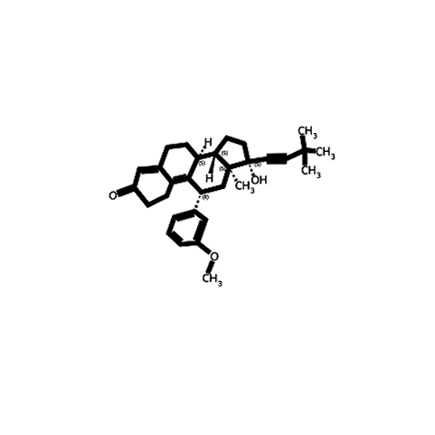 COc1cccc([C@H]2C[C@@]3(C)[C@@H](CC[C@@]3(O)C#CC(C)(C)C)[C@@H]3CCC4=CC(=O)CCC4=C32)c1